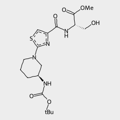 COC(=O)[C@H](CO)NC(=O)c1csc(N2CCC[C@H](NC(=O)OC(C)(C)C)C2)n1